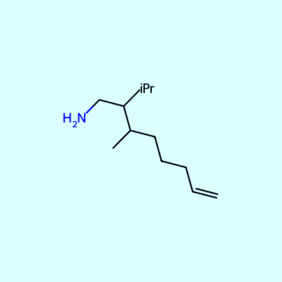 C=CCCCC(C)C(CN)C(C)C